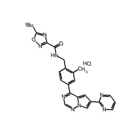 Cc1cc(-c2ncnn3cc(-c4ncccn4)cc23)ccc1CNC(=O)c1noc(C(C)(C)C)n1.Cl